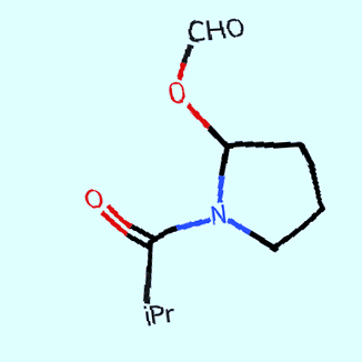 CC(C)C(=O)N1CCCC1OC=O